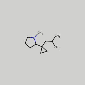 CC(C)CC1(C2CCCN2C)CC1